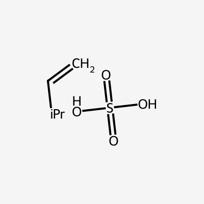 C=CC(C)C.O=S(=O)(O)O